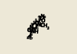 Cn1c(-c2cnco2)cc2cnc(NC(=O)C3CC3)cc21